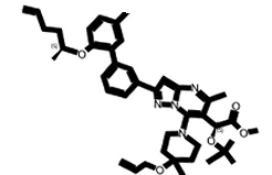 C=CCC[C@H](C)Oc1ccc(C)cc1-c1cccc(-c2cc3nc(C)c([C@H](OC(C)(C)C)C(=O)OC)c(N4CCC(C)(OCC=C)CC4)n3n2)c1